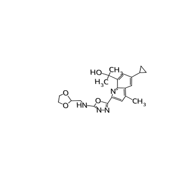 Cc1cc(-c2nnc(NCC3OCCO3)o2)nc2c(C(C)(C)O)cc(C3CC3)cc12